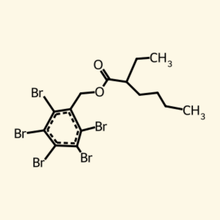 CCCCC(CC)C(=O)OCc1c(Br)c(Br)c(Br)c(Br)c1Br